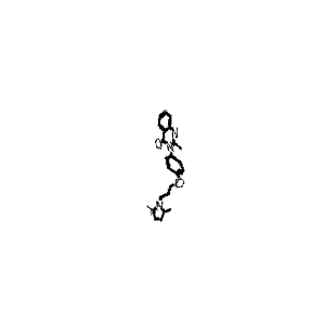 Cc1nc2ccccc2c(=O)n1-c1ccc(OCCCN2C(C)CC[C@H]2C)cc1